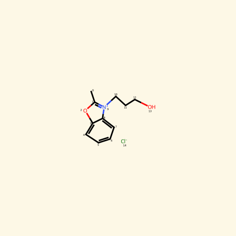 Cc1oc2ccccc2[n+]1CCCO.[Cl-]